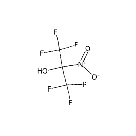 O=[N+]([O-])C(O)(C(F)(F)F)C(F)(F)F